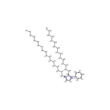 CCCCCCCCCCCCCCCCCCC[n+]1ccn(-c2ccccc2)c1CCCCCCCCCCCCCCCC